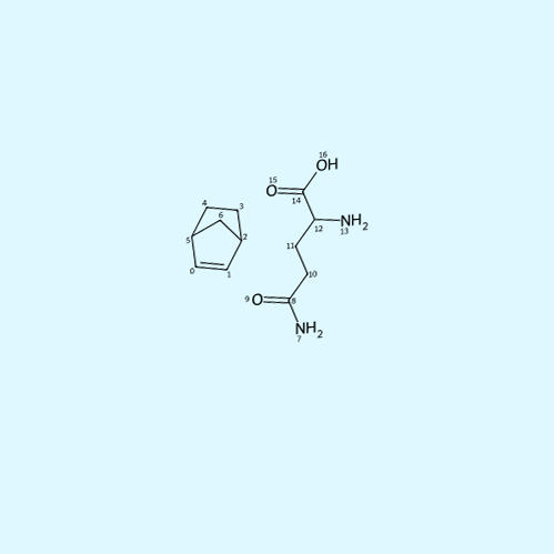 C1=CC2CCC1C2.NC(=O)CCC(N)C(=O)O